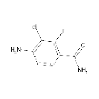 NC(=O)c1ccc(N)c(Cl)c1F